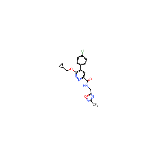 O=C(NCc1nc(C(F)(F)F)no1)c1cc(-c2ccc(Cl)cc2)c(OCC2CC2)nn1